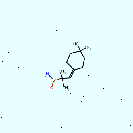 CC(C)(C=C1CCC(C#N)(C(F)(F)F)CC1)[S+](N)[O-]